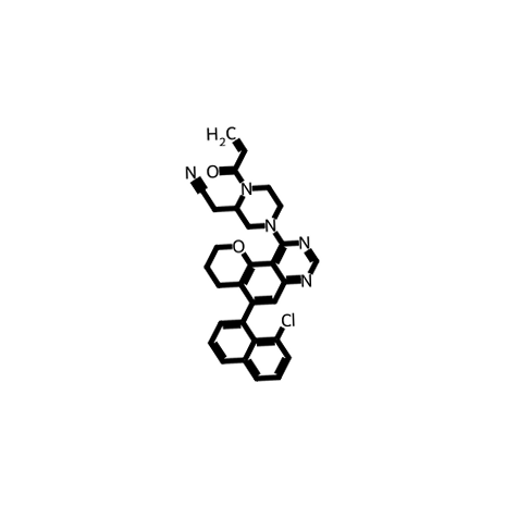 C=CC(=O)N1CCN(c2ncnc3cc(-c4cccc5cccc(Cl)c45)c4c(c23)OCCC4)CC1CC#N